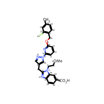 COCCn1c(Cc2cnn(-c3cccc(OCc4ccc(C)cc4F)n3)c2)nc2ccc(C(=O)O)cc21